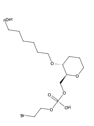 CCCCCCCCCCCCCCCCO[C@@H]1CCCO[C@H]1COP(=O)(O)OCCBr